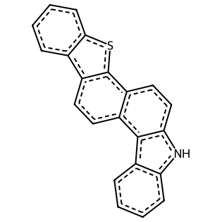 c1ccc2c(c1)[nH]c1ccc3c(ccc4c5ccccc5sc43)c12